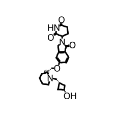 O=C1CCC(N2Cc3cc(OC[C@H]4CCCCN4C[C@H]4C[C@H](O)C4)ccc3C2=O)C(=O)N1